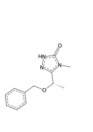 C[C@H](OCc1ccccc1)c1n[nH]c(=O)n1C